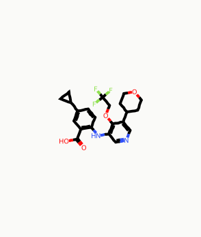 O=C(O)c1cc(C2CC2)ccc1Nc1cncc(C2CCOCC2)c1OCC(F)(F)F